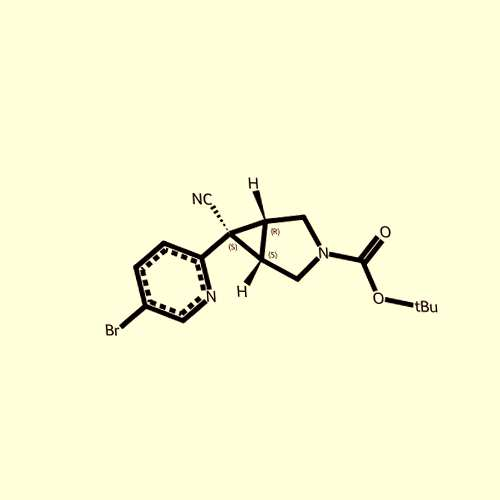 CC(C)(C)OC(=O)N1C[C@@H]2[C@H](C1)[C@@]2(C#N)c1ccc(Br)cn1